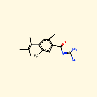 CC(C)=C(C)c1cc(C)c(C(=O)N=C(N)N)cc1C(F)(F)F